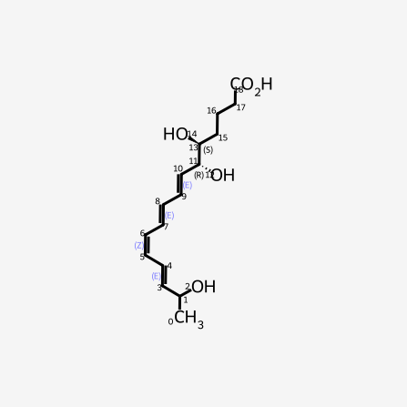 CC(O)/C=C/C=C\C=C\C=C\[C@@H](O)[C@@H](O)CCCC(=O)O